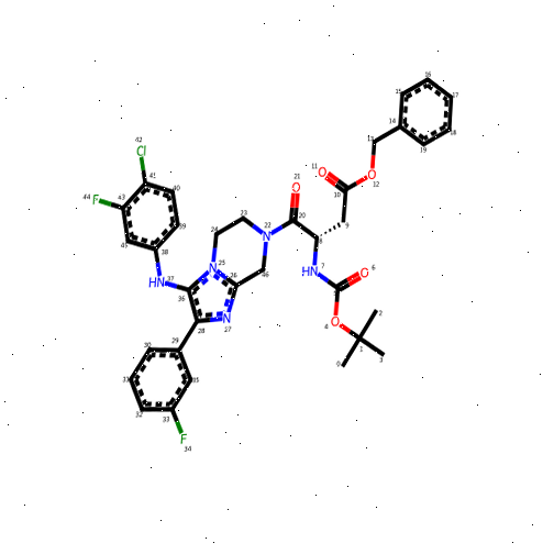 CC(C)(C)OC(=O)N[C@@H](CC(=O)OCc1ccccc1)C(=O)N1CCn2c(nc(-c3cccc(F)c3)c2Nc2ccc(Cl)c(F)c2)C1